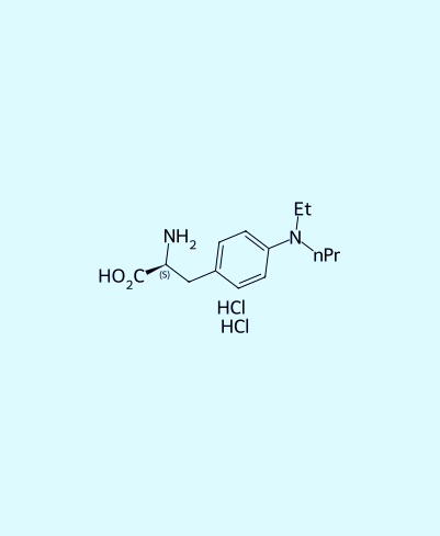 CCCN(CC)c1ccc(C[C@H](N)C(=O)O)cc1.Cl.Cl